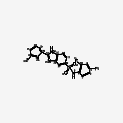 O=S(=O)(Nc1ccc(F)cc1F)c1ccc2[nH]c(-c3cccc(F)n3)nc2c1